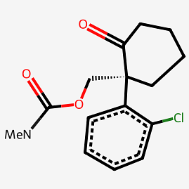 CNC(=O)OC[C@@]1(c2ccccc2Cl)CCCCC1=O